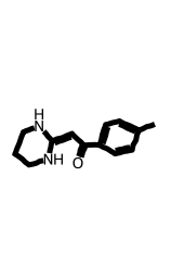 Cc1ccc(C(=O)C=C2NCCCN2)cc1